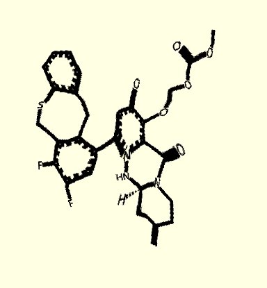 C=C1CCN2C(=O)c3c(OCOC(=O)OC)c(=O)cc(-c4cc(F)c(F)c5c4Cc4ccccc4SC5)n3N[C@@H]2C1